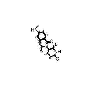 CNc1ccc2c(=O)n(C3CCC(=O)NC3=O)c(C)nc2c1